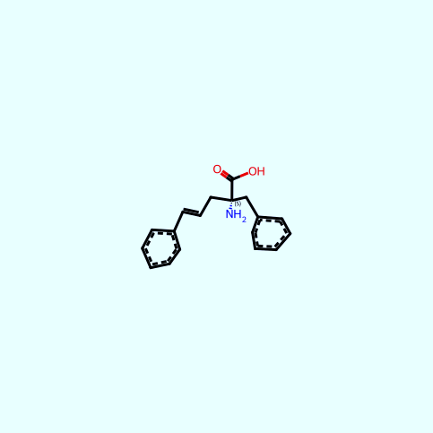 N[C@@](CC=Cc1ccccc1)(Cc1ccccc1)C(=O)O